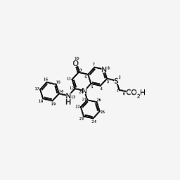 O=C(O)CSc1cc2c(cn1)c(=O)cc(Nc1ccccc1)n2-c1ccccc1